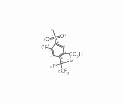 CS(=O)(=O)c1cc(C(=O)O)c(C(F)(F)C(F)(F)F)cc1Cl